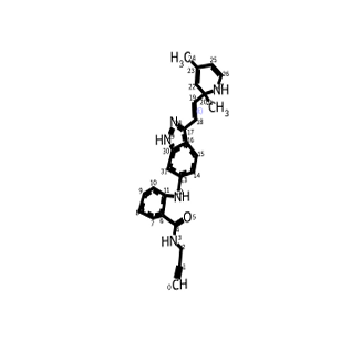 C#CCNC(=O)c1ccccc1Nc1ccc2c(/C=C/C3(C)C=C(C)C=CN3)n[nH]c2c1